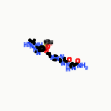 Cc1[nH]nc(Nc2ncnc3cc(OCCCN4CCN(c5cnc(C(=O)NC6CC(C(N)=O)N(C)C6)cn5)CC4)c([S+]([O-])C(C)(C)C)cc23)c1C